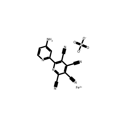 N#Cc1nc(-c2cc(N)ccn2)c(C#N)c(C#N)c1C#N.O=S(=O)([O-])[O-].[Fe+2]